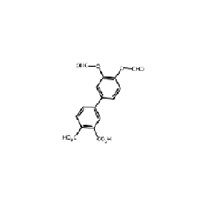 O=COc1ccc(-c2ccc(C(=O)O)c(C(=O)O)c2)cc1OC=O